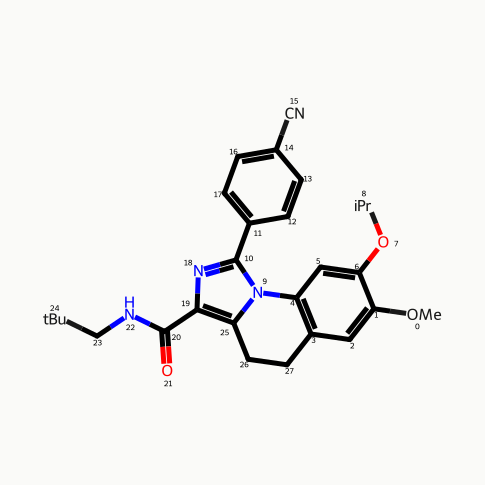 COc1cc2c(cc1OC(C)C)-n1c(-c3ccc(C#N)cc3)nc(C(=O)NCC(C)(C)C)c1CC2